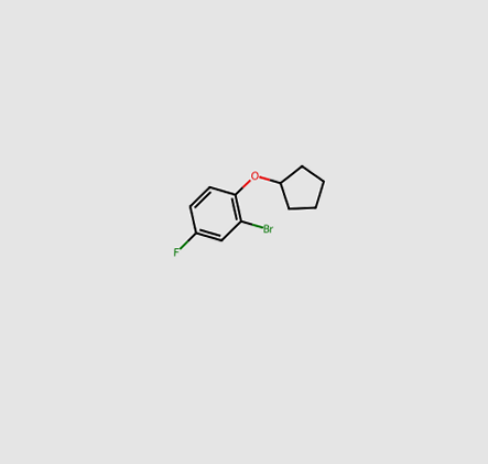 Fc1ccc(OC2CCCC2)c(Br)c1